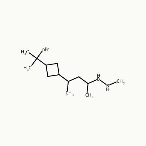 CBBC(C)CC(C)C1CC(C(C)(C)CCC)C1